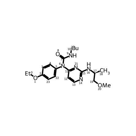 CCOc1ccc(N(C(=O)NC(C)CC)c2ccnc(N[C@@H](C)COC)n2)cc1